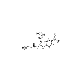 Cl.Cl.Cl.NCCNC[C@@H](N)Cc1ccc([N+](=O)[O-])cc1